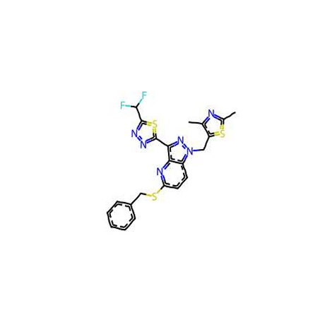 Cc1nc(C)c(Cn2nc(-c3nnc(C(F)F)s3)c3nc(SCc4ccccc4)ccc32)s1